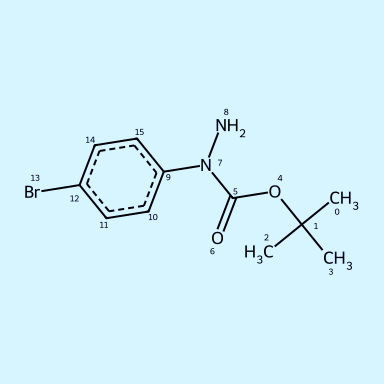 CC(C)(C)OC(=O)N(N)c1ccc(Br)cc1